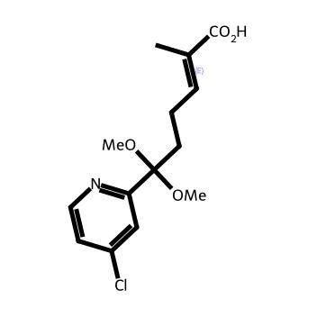 COC(CC/C=C(\C)C(=O)O)(OC)c1cc(Cl)ccn1